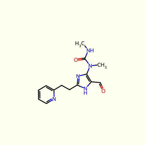 CNC(=O)N(C)c1nc(CCc2ccccn2)[nH]c1C=O